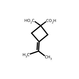 CC(C)=C1CC(C(=O)O)(C(=O)O)C1